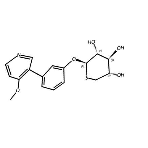 COc1ccncc1-c1cccc(O[C@@H]2SC[C@@H](O)[C@H](O)[C@H]2O)c1